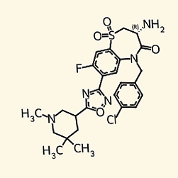 CN1CC(c2nc(-c3cc4c(cc3F)S(=O)(=O)C[C@H](N)C(=O)N4Cc3ccc(Cl)cc3)no2)CC(C)(C)C1